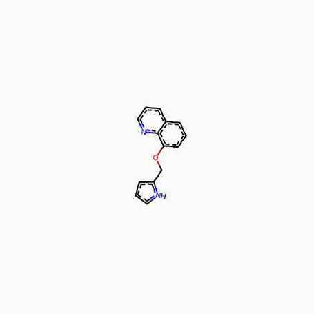 c1c[nH]c(COc2cccc3cccnc23)c1